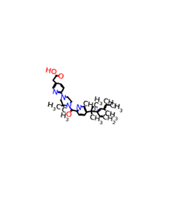 C=C/C(=C\C(C)=C(C)C)C(C)(CC)c1ccc(C(=O)N2CCN(c3ccc(CC(=O)O)cn3)CC2(C)C)nc1C